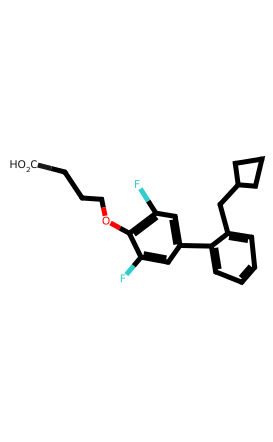 O=C(O)CCCOc1c(F)cc(-c2ccccc2CC2CCC2)cc1F